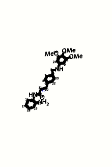 COc1cc(NCc2ccc(/C=C/C(=O)Nc3ccccc3N)cc2)cc(OC)c1OC